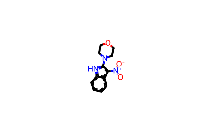 O=[N+]([O-])c1c(N2CCOCC2)[nH]c2ccccc12